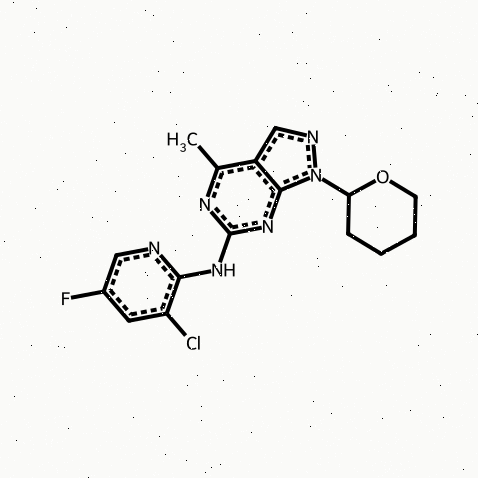 Cc1nc(Nc2ncc(F)cc2Cl)nc2c1cnn2C1CCCCO1